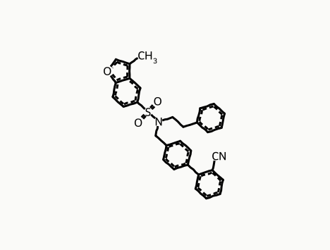 Cc1coc2ccc(S(=O)(=O)N(CCc3ccccc3)Cc3ccc(-c4ccccc4C#N)cc3)cc12